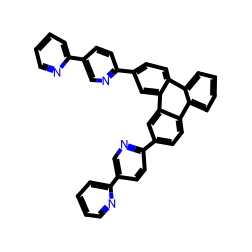 c1ccc(-c2ccc(-c3ccc4c5ccccc5c5ccc(-c6ccc(-c7ccccn7)cn6)cc5c4c3)nc2)nc1